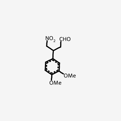 COc1ccc(C(CC=O)C[N+](=O)[O-])cc1OC